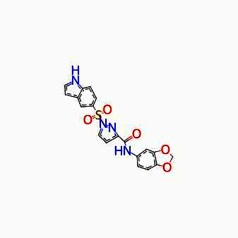 O=C(Nc1ccc2c(c1)OCO2)c1ccn(S(=O)(=O)c2ccc3[nH]ccc3c2)n1